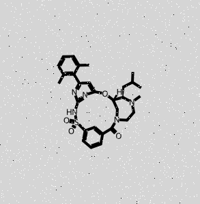 Cc1cccc(C)c1-c1cc2nc(n1)NS(=O)(=O)c1cccc(c1)C(=O)N1CCN(C)[C@H](CC(C)C)[C@H](C1)O2